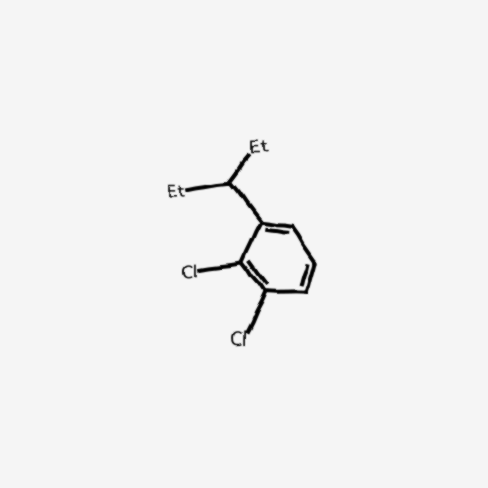 CCC(CC)c1cccc(Cl)c1Cl